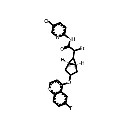 CCC(C(=O)Nc1ccc(Cl)cn1)C1[C@H]2CC(Oc3ccnc4ccc(F)cc34)C[C@@H]12